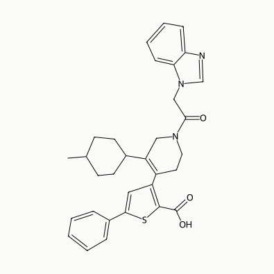 CC1CCC(C2=C(c3cc(-c4ccccc4)sc3C(=O)O)CCN(C(=O)Cn3cnc4ccccc43)C2)CC1